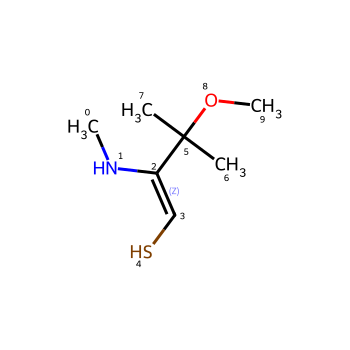 CN/C(=C\S)C(C)(C)OC